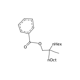 CCCCCCCCC(C)(CCCCCC)COC(=O)c1ccccc1